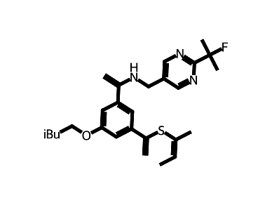 C=C(NCc1cnc(C(C)(C)F)nc1)c1cc(OCC(C)CC)cc(C(=C)S/C(C)=C\C)c1